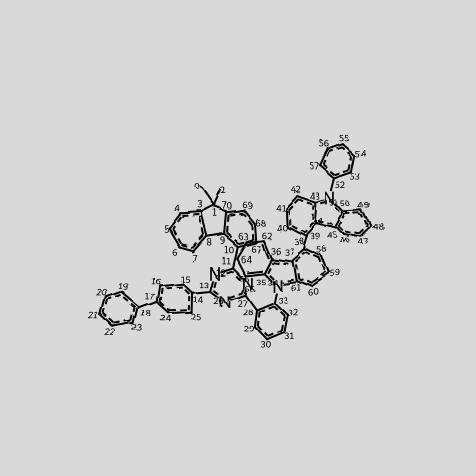 CC1(C)c2ccccc2-c2c(-c3nc(-c4ccc(-c5ccccc5)cc4)nc(-c4ccccc4-n4c5c(c6c(-c7cccc8c7c7ccccc7n8-c7ccccc7)cccc64)=CCCC=5)n3)cccc21